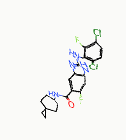 O=C(NC1CCC2(CC1)CC2)c1cc2nc(Nc3c(Cl)ccc(Cl)c3F)[nH]c2cc1F